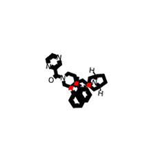 Cc1nc2ccccc2n1[C@H]1C[C@H]2CC[C@@H](C1)N2CCC1(c2ccccc2)CCN(C(=O)c2cnccn2)CC1